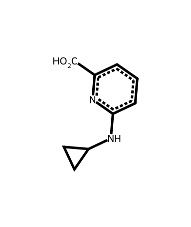 O=C(O)c1cccc(NC2CC2)n1